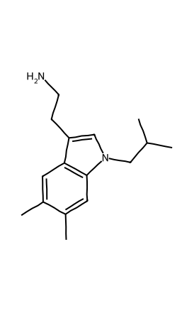 Cc1cc2c(CCN)cn(CC(C)C)c2cc1C